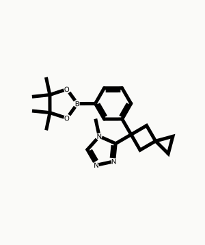 Cn1cnnc1C1(c2cccc(B3OC(C)(C)C(C)(C)O3)c2)CC2(CC2)C1